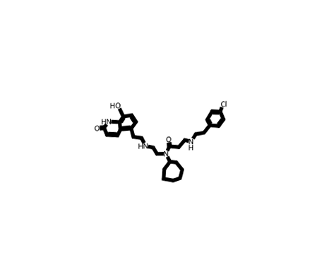 O=C(CCNCCc1ccc(Cl)cc1)N(CCNCCc1ccc(O)c2[nH]c(=O)ccc12)C1CCCCCC1